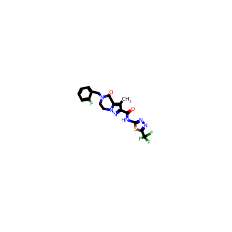 Cc1c(C(=O)Nc2nnc(C(F)(F)F)s2)nn2c1C(=O)N(Cc1ccccc1F)CC2